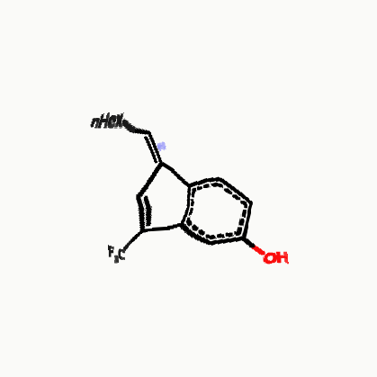 CCCCCC/C=C1\C=C(C(F)(F)F)c2cc(O)ccc21